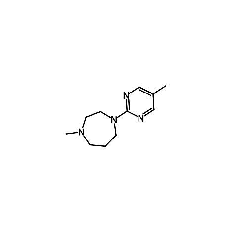 Cc1cnc(N2CCCN(C)CC2)nc1